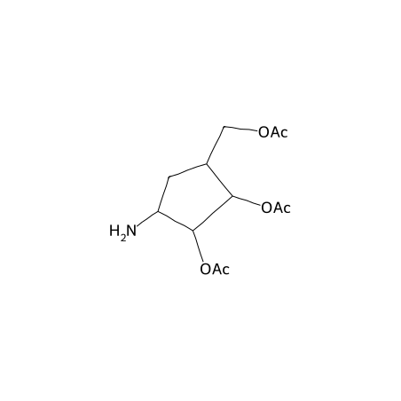 CC(=O)OCC1CC(N)C(OC(C)=O)C1OC(C)=O